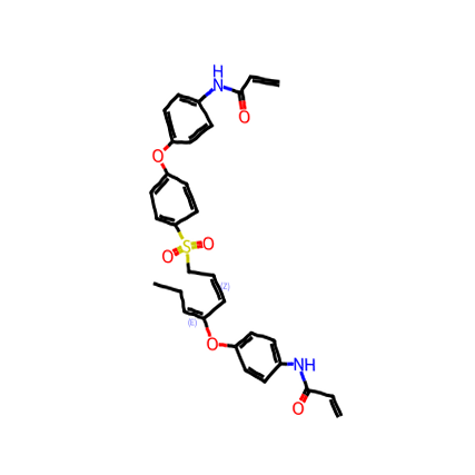 C=CC(=O)Nc1ccc(OC(/C=C\CS(=O)(=O)c2ccc(Oc3ccc(NC(=O)C=C)cc3)cc2)=C/CC)cc1